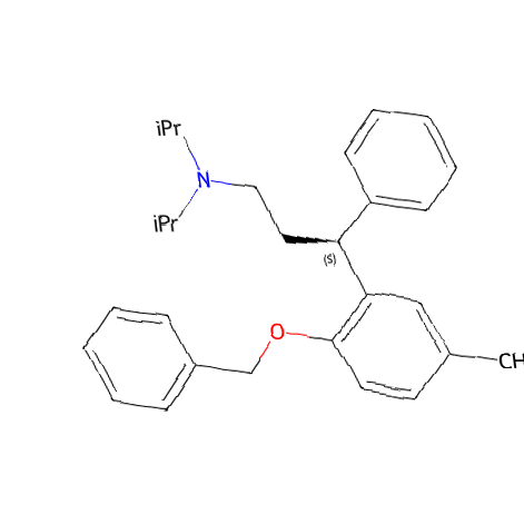 Cc1ccc(OCc2ccccc2)c([C@@H](CCN(C(C)C)C(C)C)c2ccccc2)c1